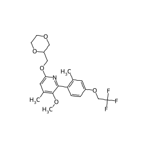 COc1c(C)cc(OCC2COCCO2)nc1-c1ccc(OCC(F)(F)F)cc1C